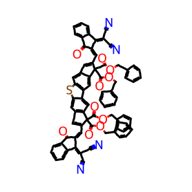 N#CC(C#N)=C1/C(=C/C2=Cc3cc4sc5cc6c(cc5c4cc3C2(C(=O)OCc2ccccc2)C(=O)OCc2ccccc2)C(C(=O)OCc2ccccc2)(C(=O)OCc2ccccc2)C(/C=C2\C(=O)c3ccccc3C2=C(C#N)C#N)=C6)C(=O)c2ccccc21